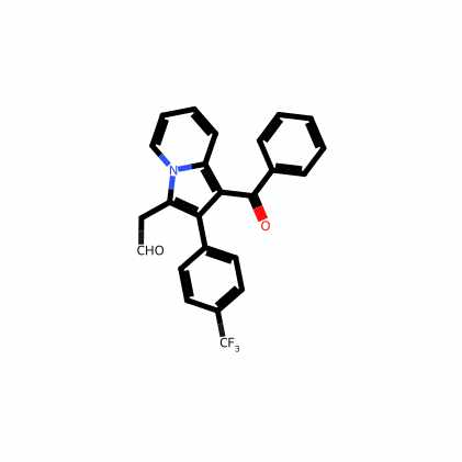 O=CCc1c(-c2ccc(C(F)(F)F)cc2)c(C(=O)c2ccccc2)c2ccccn12